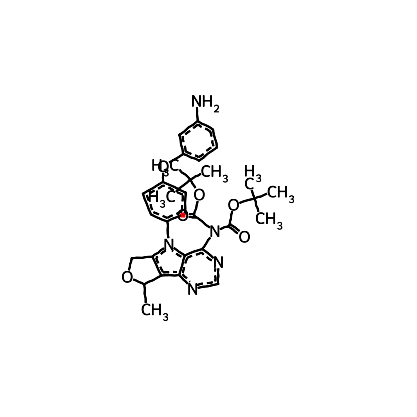 CC1OCc2c1c1ncnc(N(C(=O)OC(C)(C)C)C(=O)OC(C)(C)C)c1n2-c1ccc(Oc2cccc(N)c2)cc1